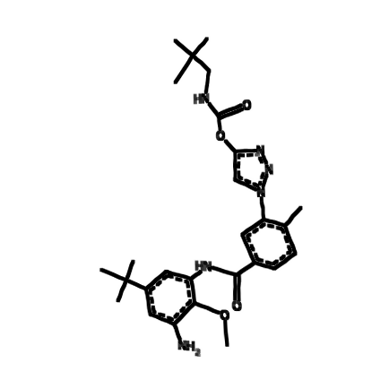 COc1c(N)cc(C(C)(C)C)cc1NC(=O)c1ccc(C)c(-n2cc(OC(=O)NCC(C)(C)C)nn2)c1